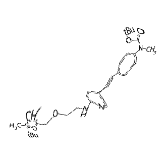 CN(C(=O)OC(C)(C)C)c1ccc(C#Cc2ccc(NCCOCCO[Si](C)(C)C(C)(C)C)nc2)cc1